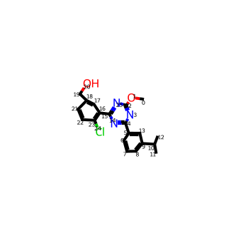 COc1nc(-c2cccc(C(C)C)c2)nc(-c2cc(CO)ccc2Cl)n1